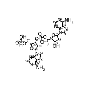 C[P@](=O)(OC[C@H]1O[C@@H](n2cnc3c(N)ncnc32)C[C@@H]1O)O[C@H]1C[C@H](n2cnc3c(N)ncnc32)O[C@@H]1CO[PH](=O)O